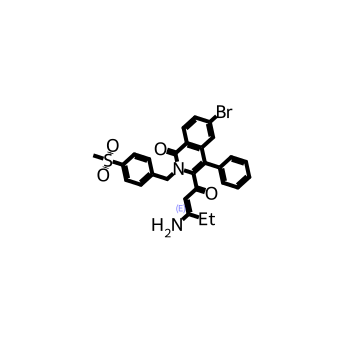 CC/C(N)=C\C(=O)c1c(-c2ccccc2)c2cc(Br)ccc2c(=O)n1Cc1ccc(S(C)(=O)=O)cc1